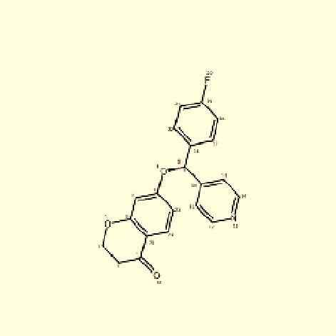 O=C1CCOc2cc(O[C@H](c3ccncc3)c3ccc(F)cc3)ccc21